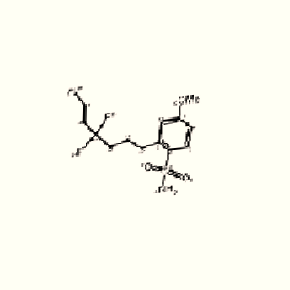 COc1ccc(S(N)(=O)=O)c(CCCC(F)(F)CCCl)c1